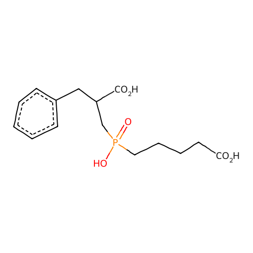 O=C(O)CCCCP(=O)(O)CC(Cc1ccccc1)C(=O)O